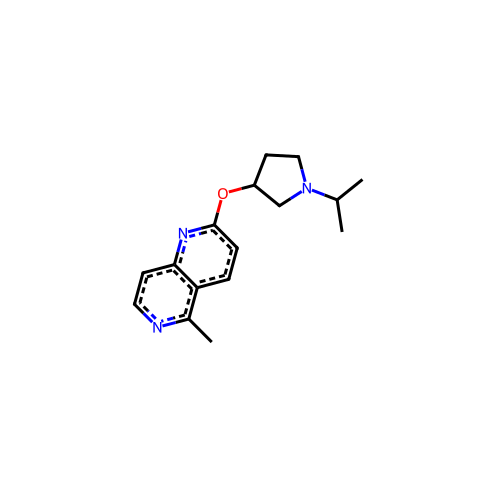 Cc1nccc2nc(OC3CCN(C(C)C)C3)ccc12